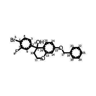 OC1(c2ccc(Br)c(F)c2)CCOc2cc(OCc3ccccc3)ccc21